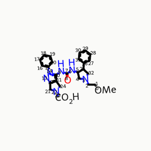 COCCN1CC(NC(=O)Nc2c3c(nn2-c2ccccc2)CN(C(=O)O)C3)C(c2ccccc2)C1